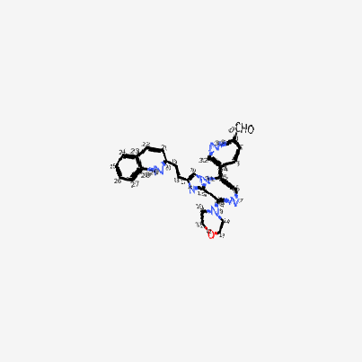 O=Cc1ccc(-c2cnc(N3CCOCC3)c3nc(C=Cc4ccc5ccccc5n4)cn23)cn1